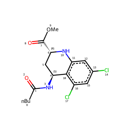 CCCCC(=O)N[C@H]1C[C@H](C(=O)OC)Nc2cc(Cl)cc(Cl)c21